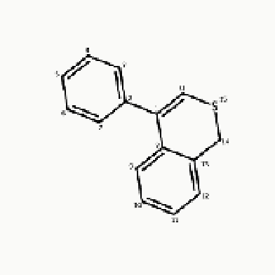 C1=C(c2ccccc2)c2ccccc2CS1